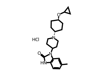 Cc1ccc2[nH]c(=O)n(C3CCN([C@H]4CC[C@H](OC5CC5)CC4)CC3)c2c1.Cl